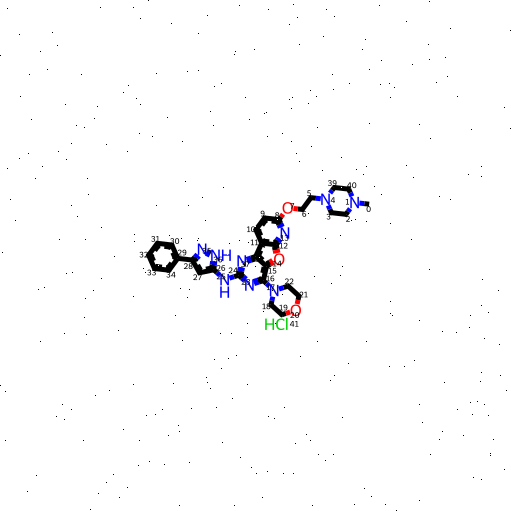 CN1CCN(CCOc2ccc3c(n2)oc2c(N4CCOCC4)nc(Nc4cc(-c5ccccc5)n[nH]4)nc23)CC1.Cl